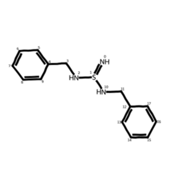 N=S(NCc1ccccc1)NCc1ccccc1